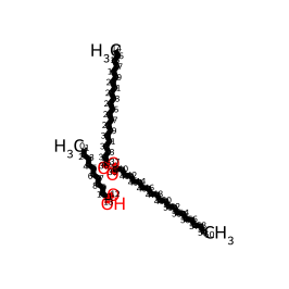 CCCCCCCCCCCC(=O)O.CCCCCCCCCCCCCCCCCCCCCC(=O)OC(=O)CCCCCCCCCCCCCCCCCCCCC